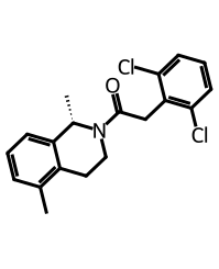 Cc1cccc2c1CCN(C(=O)Cc1c(Cl)cccc1Cl)[C@H]2C